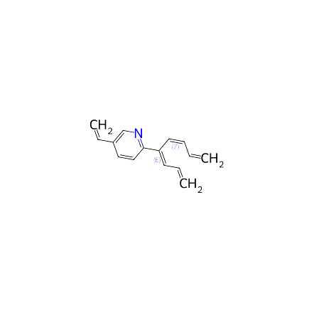 C=C/C=C\C(=C/C=C)c1ccc(C=C)cn1